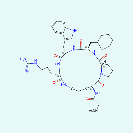 CC(=O)NCC(=O)N[C@H]1CCCNC(=O)[C@H](CCCNC(=N)N)NC(=O)[C@H](Cc2c[nH]c3ccccc23)NC(=O)[C@@H](CC2CCCCC2)NC(=O)[C@@H]2CCCN2C1=O